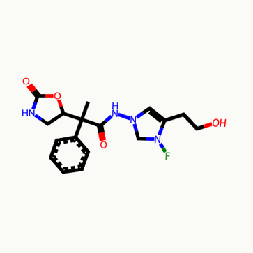 CC(C(=O)NN1C=C(CCO)N(F)C1)(c1ccccc1)C1CNC(=O)O1